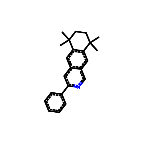 CC1(C)CCC(C)(C)c2cc3cc(-c4ccccc4)ncc3cc21